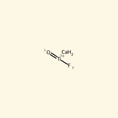 [CaH2].[O]=[Ti][F]